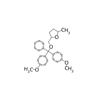 COc1ccc(C(OCC2CCC(C)O2)(c2ccccc2)c2ccc(OC)cc2)cc1